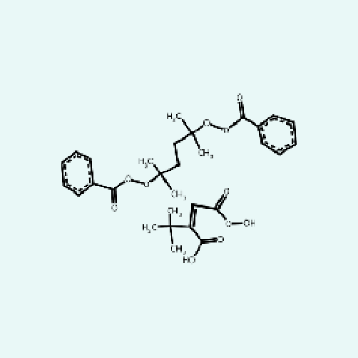 CC(C)(C)/C(=C/C(=O)OO)C(=O)O.CC(C)(CCC(C)(C)OOC(=O)c1ccccc1)OOC(=O)c1ccccc1